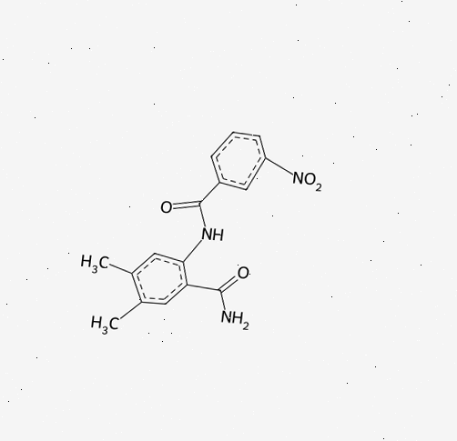 Cc1cc(NC(=O)c2cccc([N+](=O)[O-])c2)c(C(N)=O)cc1C